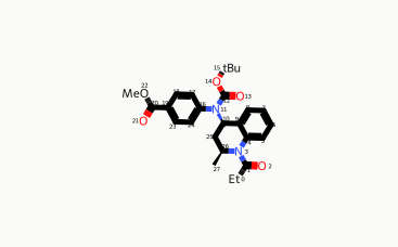 CCC(=O)N1c2ccccc2[C@H](N(C(=O)OC(C)(C)C)c2ccc(C(=O)OC)cc2)C[C@@H]1C